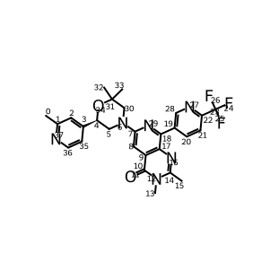 Cc1cc([C@@H]2CN(c3cc4c(=O)n(C)c(C)nc4c(-c4ccc(C(F)(F)F)nc4)n3)CC(C)(C)O2)ccn1